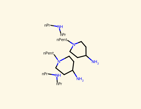 CCCCCN1CCC(N)CC1.CCCCCN1CCC(N)CC1.CCCNCCC.CCCNCCC